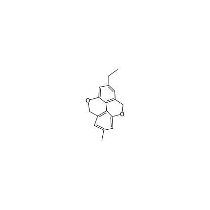 CCc1cc2c3c(c1)OCc1cc(C)cc(c1-3)OC2